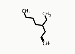 [CH]=CCC(CC)CCCC